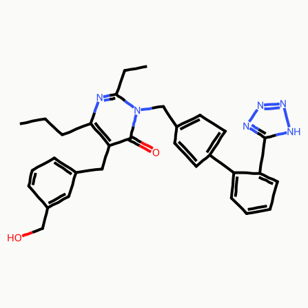 CCCc1nc(CC)n(Cc2ccc(-c3ccccc3-c3nnn[nH]3)cc2)c(=O)c1Cc1cccc(CO)c1